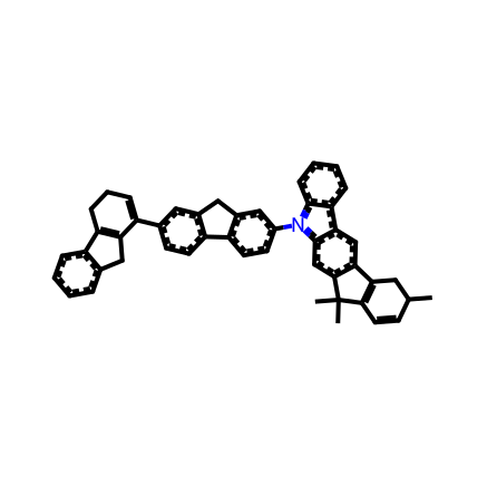 CC1C=CC2=C(C1)c1cc3c4ccccc4n(-c4ccc5c(c4)Cc4cc(C6=CCCC7=C6Cc6ccccc67)ccc4-5)c3cc1C2(C)C